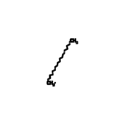 [CH2]CC=CCCCCCCCCCCCCCCCCC